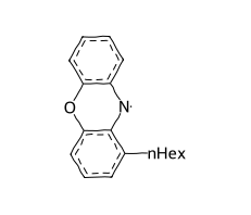 CCCCCCc1cccc2c1[N]c1ccccc1O2